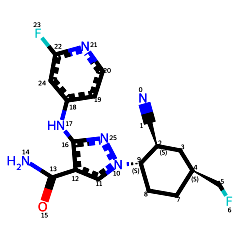 N#C[C@H]1C[C@@H](CF)CC[C@@H]1n1cc(C(N)=O)c(Nc2ccnc(F)c2)n1